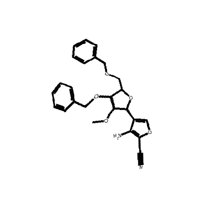 COC1C(c2coc(C#N)c2N)OC(COCc2ccccc2)C1OCc1ccccc1